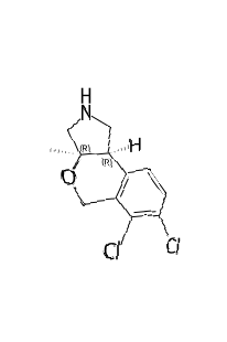 C[C@]12CNC[C@H]1c1ccc(Cl)c(Cl)c1CO2